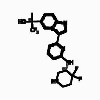 C[C@@](O)(c1ccc2ncc(-c3cccc(N[C@H]4CNCCC4(F)F)n3)n2c1)C(F)(F)F